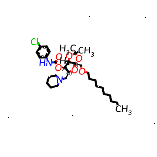 CCCCCCCCCCOC[C@@]12O[C@@H](CN3CCCCC3)[C@@H](OC(=O)Nc3ccc(Cl)cc3)[C@@H]1OC(C)(C)O2